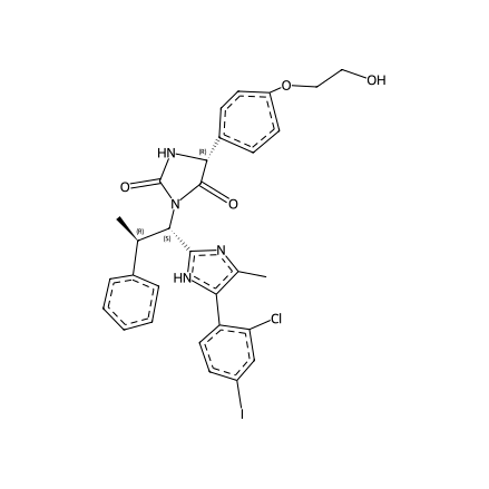 Cc1nc([C@H]([C@H](C)c2ccccc2)N2C(=O)N[C@H](c3ccc(OCCO)cc3)C2=O)[nH]c1-c1ccc(I)cc1Cl